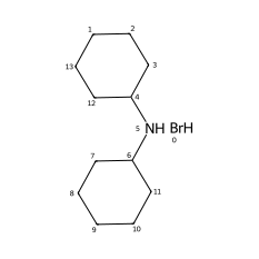 Br.C1CCC(NC2CCCCC2)CC1